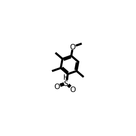 COc1cc(C)c([SH](=O)=O)c(C)c1C